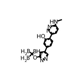 BC(B)(B)Oc1cc(-c2ccc(-c3ccc(NC)nn3)c(O)c2)cnn1